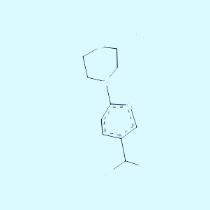 CC(C)c1ccc(N2C[C@@H](C)N[C@@H](C)C2)nc1